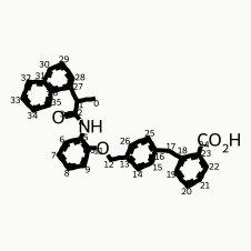 CC(C(=O)Nc1ccccc1OCc1ccc(Cc2ccccc2C(=O)O)cc1)c1cccc2ccccc12